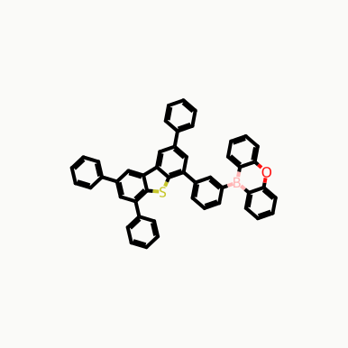 c1ccc(-c2cc(-c3ccccc3)c3sc4c(-c5cccc(B6c7ccccc7Oc7ccccc76)c5)cc(-c5ccccc5)cc4c3c2)cc1